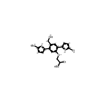 CCCCC(CC)COc1cc(-c2ccc(C(C)(C)C)s2)c(CO)cc1-c1ccc(CC)s1